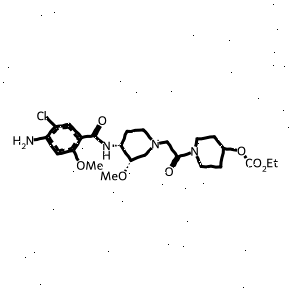 CCOC(=O)OC1CCN(C(=O)CN2CC[C@@H](NC(=O)c3cc(Cl)c(N)cc3OC)[C@@H](OC)C2)CC1